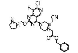 CN1CCC[C@H]1COc1nc(N2CCN(CC(=O)OCc3ccccc3)[C@@H](CC#N)C2)c2cnc(Cl)c(F)c2n1